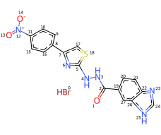 Br.O=C(NNc1nc(-c2ccc([N+](=O)[O-])cc2)cs1)c1ccc2nc[nH]c2c1